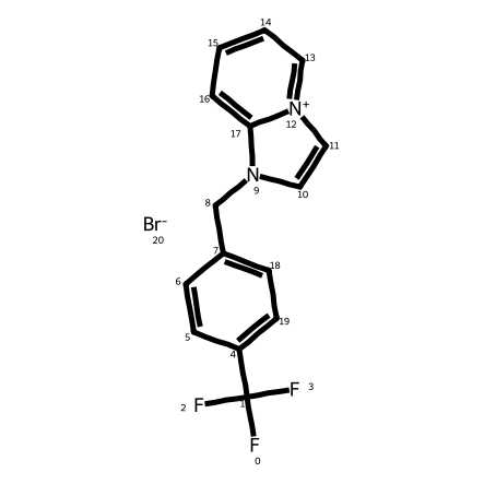 FC(F)(F)c1ccc(Cn2cc[n+]3ccccc23)cc1.[Br-]